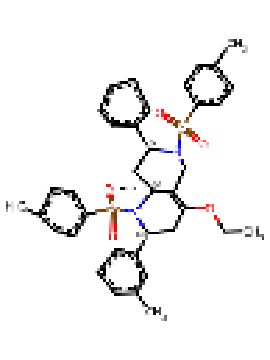 CCOC1=C2CN(S(=O)(=O)c3ccc(C)cc3)[C@H](c3ccccc3)C[C@@H]2N(S(=O)(=O)c2ccc(C)cc2)[C@H](c2cccc(C)c2)C1